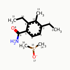 CCc1ccc(C(N)=O)c(CC)c1C.C[S+](C)[O-]